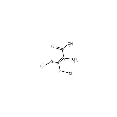 COC(CCl)=C(C)C(=O)O